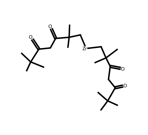 CC(C)(C)C(=O)CC(=O)C(C)(C)[CH2][Zr][CH2]C(C)(C)C(=O)CC(=O)C(C)(C)C